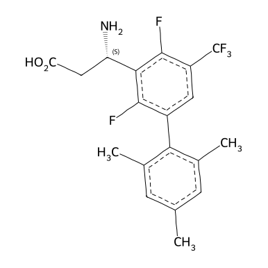 Cc1cc(C)c(-c2cc(C(F)(F)F)c(F)c([C@@H](N)CC(=O)O)c2F)c(C)c1